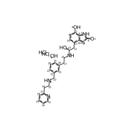 Cl.Cl.Cl.O=c1[nH]c2c(O)ccc(CC(O)NCCc3cccc(CNCCc4ccccn4)c3)c2s1